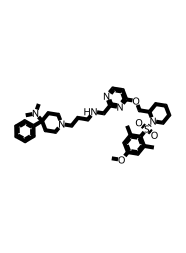 COc1cc(C)c(S(=O)(=O)N2CCCCC2COc2ccnc(CNCCCN3CCC(c4ccccc4)(N(C)C)CC3)n2)c(C)c1